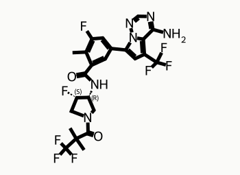 Cc1c(F)cc(-c2cc(C(F)(F)F)c3c(N)ncnn23)cc1C(=O)N[C@@H]1CN(C(=O)C(C)(C)C(F)(F)F)C[C@@H]1F